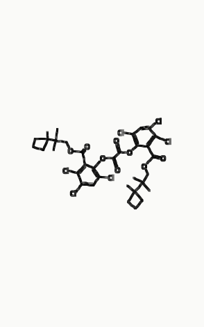 CC(C)(COC(=O)c1c(Cl)c(Cl)cc(Cl)c1OC(=O)C(=O)Oc1c(Cl)cc(Cl)c(Cl)c1C(=O)OCC(C)(C)C1(C)CCC1)C1(C)CCC1